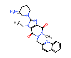 CCn1c(N2CCC[C@@H](N)C2)nc2c(=O)n(C)n(Cc3ccc4ccccc4n3)c(=O)c21